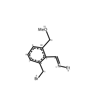 CCN=Cc1c(CBr)cccc1COC